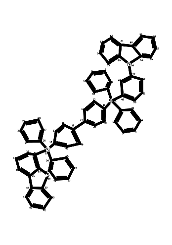 c1ccc([Si](c2ccccc2)(c2ccc(-c3ccc([Si](c4ccccc4)(c4ccccc4)c4cccc5c4sc4ccccc45)cc3)cc2)c2cccc(-n3c4ccccc4c4ccccc43)c2)cc1